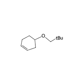 CC(C)(C)COC1CC=CCC1